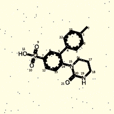 Cc1ccc(-c2cc(S(=O)(=O)O)ccc2N2CCCNC2=O)cc1